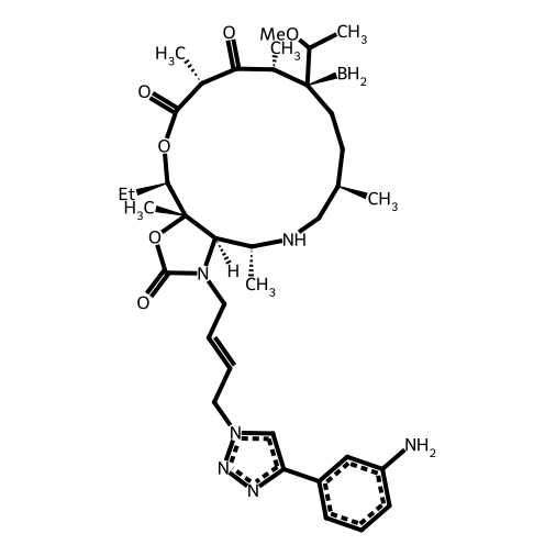 B[C@@]1(C(C)OC)CC[C@@H](C)CN[C@H](C)[C@H]2N(C/C=C/Cn3cc(-c4cccc(N)c4)nn3)C(=O)O[C@]2(C)[C@@H](CC)OC(=O)[C@H](C)C(=O)[C@@H]1C